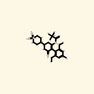 C=C(OC1=C(c2c(CC)cc(C)cc2CC)C(=O)CC(C2CCS(=O)(=O)CC2)C1)C(C)(C)C